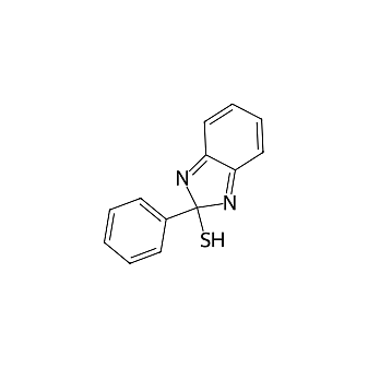 SC1(c2ccccc2)N=c2ccccc2=N1